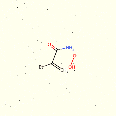 C=C(CC)C(N)=O.[O]O